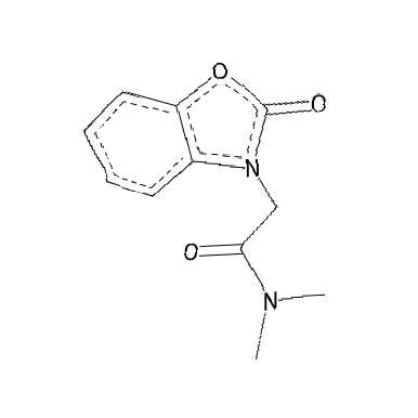 CN(C)C(=O)Cn1c(=O)oc2ccccc21